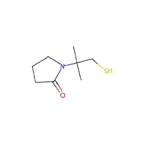 CC(C)(CS)N1CCCC1=O